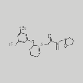 CC(C)(C)c1cc(S[C@@H]2CCCC[C@H]2SCC(=O)NCC2CCCO2)cc(C(C)(C)C)c1